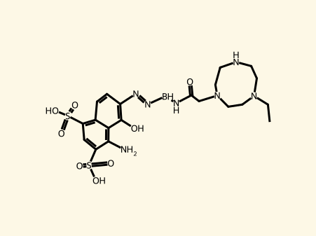 CCN1CCNCCN(CC(=O)NBN=Nc2ccc3c(S(=O)(=O)O)cc(S(=O)(=O)O)c(N)c3c2O)CC1